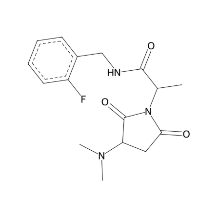 CC(C(=O)NCc1ccccc1F)N1C(=O)CC(N(C)C)C1=O